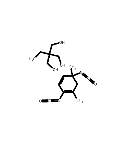 CC1=C(N=C=O)C=CC(C)(N=C=O)C1.CCC(CO)(CO)CO